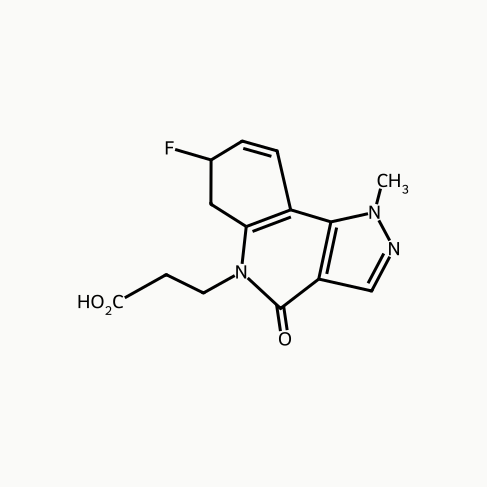 Cn1ncc2c(=O)n(CCC(=O)O)c3c(c21)C=CC(F)C3